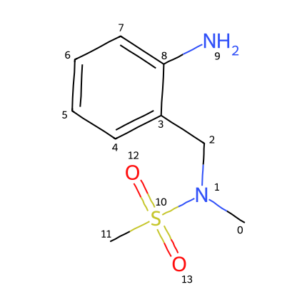 CN(Cc1ccccc1N)S(C)(=O)=O